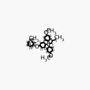 CCCC[B-](c1ccc(OC)cc1)(c1ccc(OC)cc1)c1ccc(OC)cc1.C[n+]1ccccc1